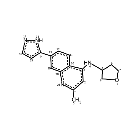 Cc1cc(NC2CCOC2)c2ccc(-c3ccn[nH]3)cc2n1